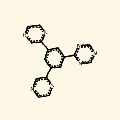 c1cnc(-c2cc(-c3cnccn3)cc(-c3ncncn3)c2)cn1